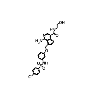 Nc1ncc(C(=O)NCCO)c2scc(COc3cccc(NS(=O)(=O)c4ccc(Cl)cc4)c3)c12